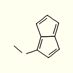 CSC1=C2[C]=CC=C2C=C1